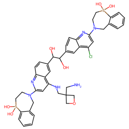 NCC1(CNc2cc(N3CCS(O)(O)c4ccccc4C3)nc3ccc(C(O)C(O)c4ccc5nc(N6CCS(O)(O)c7ccccc7C6)cc(Cl)c5c4)cc23)COC1